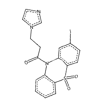 O=C(CCn1ccnc1)N1c2ccccc2S(=O)(=O)c2ccc(I)cc21